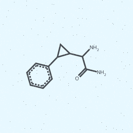 NC(=O)C(N)C1CC1c1ccccc1